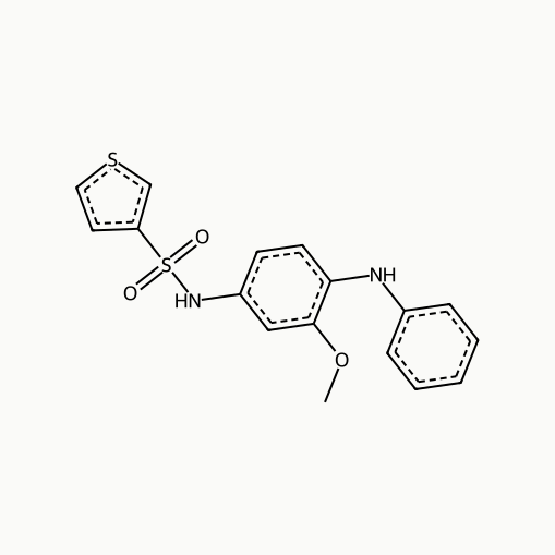 COc1cc(NS(=O)(=O)c2ccsc2)ccc1Nc1ccccc1